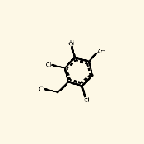 CC(=O)c1cc(Cl)c(CCl)c(Cl)c1O